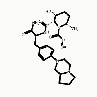 C[C@@H]1CC[C@H](C)N(C(=O)OC(C)(C)C)[C@@H]1C(=O)N[C@@H](Cc1ccc(N2CCN3CCCC3C2)cc1)C(N)=O